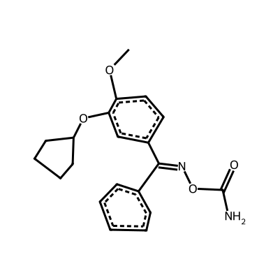 COc1ccc(C(=NOC(N)=O)c2ccccc2)cc1OC1CCCC1